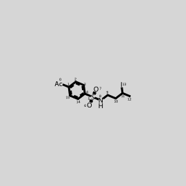 CC(=O)c1ccc(S(=O)(=O)NCCC(C)I)cc1